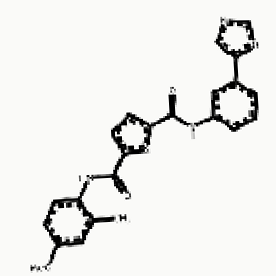 COc1ccc(NC(=O)c2ccc(C(=O)Nc3cccc(-c4cnco4)c3)s2)c(C)c1